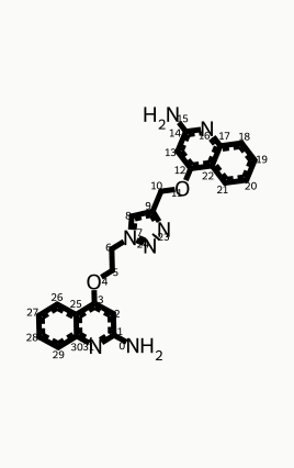 Nc1cc(OCCn2cc(COc3cc(N)nc4ccccc34)nn2)c2ccccc2n1